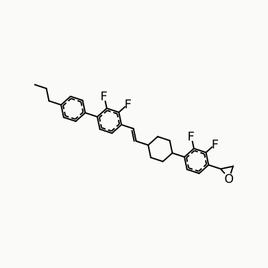 CCCc1ccc(-c2ccc(/C=C/C3CCC(c4ccc(C5CO5)c(F)c4F)CC3)c(F)c2F)cc1